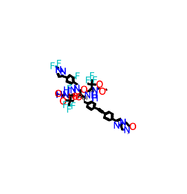 COC(=O)N[C@H](C(=O)N[C@@H](Cc1ccc(C#Cc2ccc(-c3cn4c(n3)CN(C)C(=O)C4)cc2)cc1)[C@@H](O)CN(Cc1c(F)cc(-c2ccn(C(F)F)n2)cc1F)NC(=O)[C@@H](NC(=O)OC)C(C)(C)C(F)(F)F)C(C)(C)C(F)(F)F